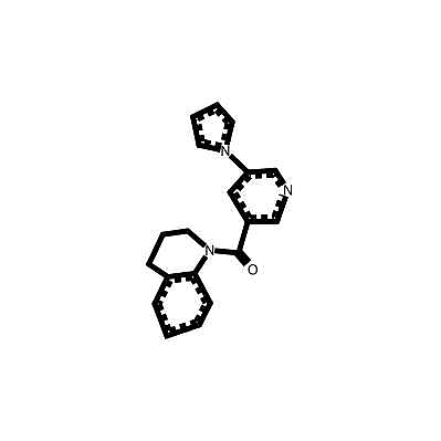 O=C(c1cncc(-n2cccc2)c1)N1CCCc2ccccc21